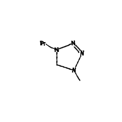 CC(C)N1CN(C)N=N1